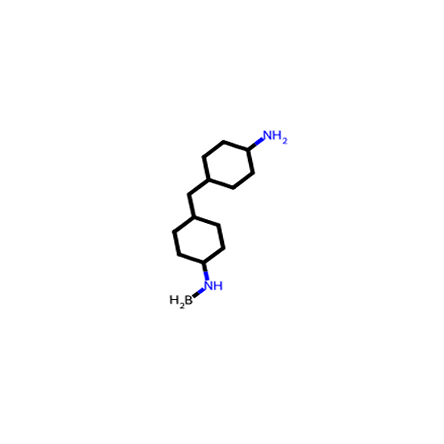 BNC1CCC(CC2CCC(N)CC2)CC1